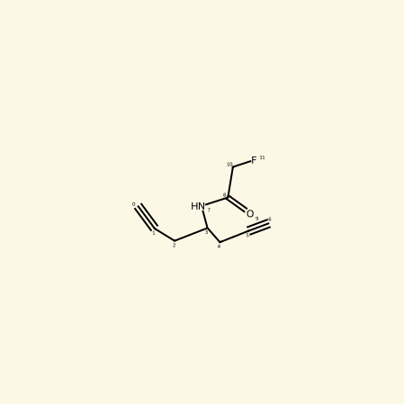 C#CCC(CC#C)NC(=O)CF